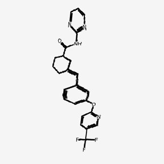 O=C(Nc1ncccn1)C1CCCC(=Cc2cccc(Oc3ccc(C(F)(F)F)cn3)c2)C1